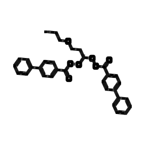 [CH2]CCOCC[C](OOC(=O)c1ccc(-c2ccccc2)cc1)OOC(=O)c1ccc(-c2ccccc2)cc1